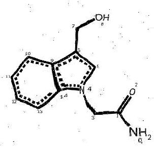 NC(=O)Cn1cc(CO)c2ccccc21